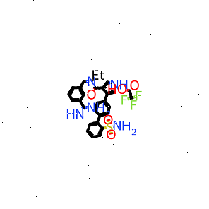 CCN(Cc1cccc(C(=N)N)c1)C(=O)c1c[nH]cc1-c1ccc(-c2ccccc2S(N)(=O)=O)cc1.O=C(O)C(F)(F)F